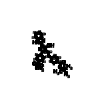 CC(C)(C)OC(=O)N1CCC(CCc2c(-c3ccc(S(C)(=O)=O)cc3)nn(-c3nc4ccccc4[nH]3)c2O)CC1